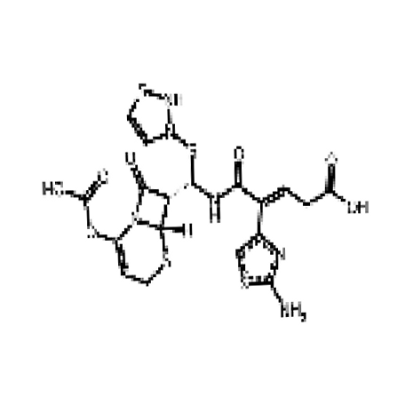 Nc1nc(C(=CCC(=O)O)C(=O)NC(SN2C=CSN2)[C@H]2C(=O)N3C(OC(=O)O)=CCS[C@@H]23)cs1